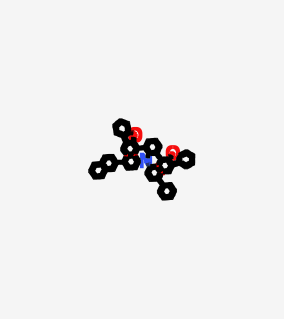 c1ccc(-c2ccc(N(c3ccc(-c4ccc5ccccc5c4)cc3)c3c(-c4cccc5c4oc4ccccc45)cccc3-c3cccc4c3oc3ccccc34)cc2)cc1